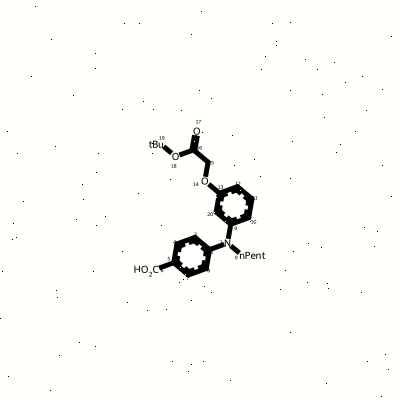 CCCCCN(c1ccc(C(=O)O)cc1)c1cccc(OCC(=O)OC(C)(C)C)c1